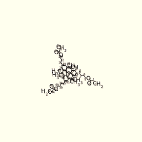 C=CC(=O)OCCCCc1cc2c3c(c1)C(C)(C)c1cc(CCCOC(=O)C=C)cc4c1N3c1c(cc(CCCCOC(=O)C=C)cc1C4(C)C)C2(C)C